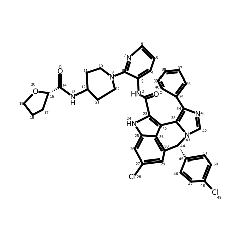 O=C(Nc1cccnc1N1CCC(NC(=O)[C@@H]2CCCO2)CC1)c1[nH]c2cc(Cl)cc3c2c1-c1c(-c2ccccc2)ncn1[C@@H]3c1ccc(Cl)cc1